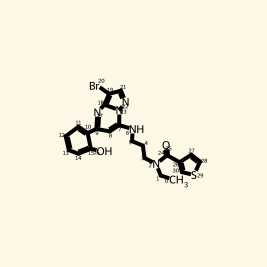 CCN(CCCNc1cc(-c2ccccc2O)nc2c(Br)cnn12)C(=O)c1ccsc1